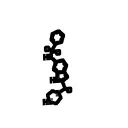 O=C(c1cc2ccc(NS(=O)(=O)c3ccccc3)cc2[nH]1)N1CCNCC1